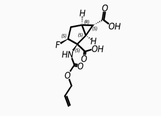 C=CCOC(=O)N[C@]1(C(=O)O)[C@H]2[C@@H](C[C@@H]1F)[C@@H]2C(=O)O